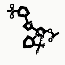 CC(=O)Oc1cc(-c2ccc(-c3cccc(S(C)(=O)=O)c3)s2)n(-c2ccccc2C(F)(F)F)n1